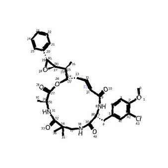 COc1ccc(C[C@H]2NC(=O)/C=C/C[C@@H]([C@H](C)[C@H]3O[C@@H]3c3ccccc3)OC(=O)[C@H](C)NC(=O)C(C)(C)CNC2=O)cc1Cl